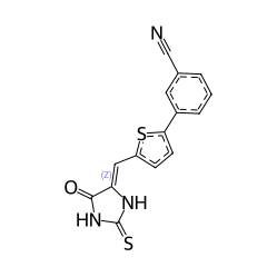 N#Cc1cccc(-c2ccc(/C=C3\NC(=S)NC3=O)s2)c1